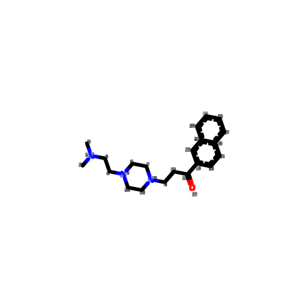 CN(C)CCN1CCN(CCC(=O)c2ccc3ccccc3c2)CC1